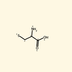 NC(C[S])C(=O)O